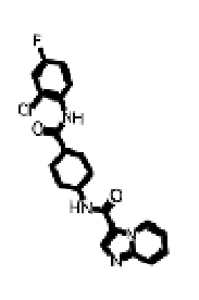 O=C(NC1CCC(C(=O)Nc2ccc(F)cc2Cl)CC1)c1cnc2ccccn12